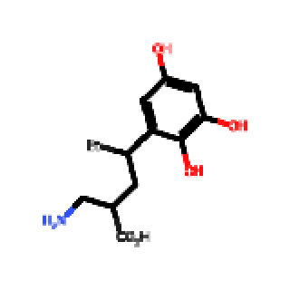 CCC(CC(CN)C(=O)O)c1cc(O)cc(O)c1O